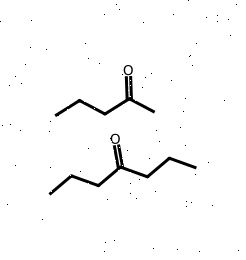 CCCC(=O)CCC.CCCC(C)=O